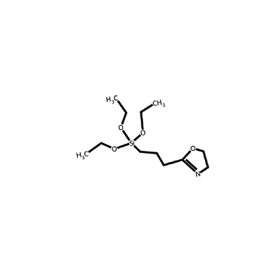 CCO[Si](CCCC1=NCCO1)(OCC)OCC